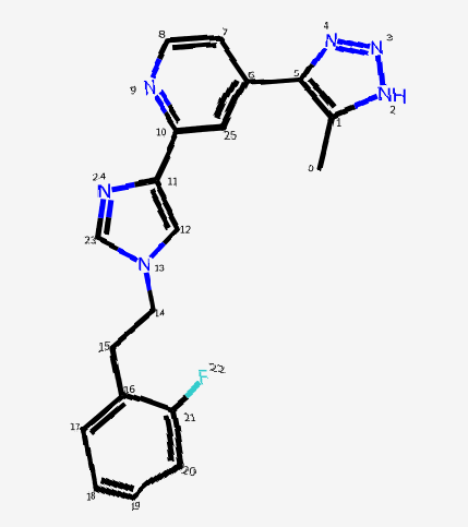 Cc1[nH]nnc1-c1ccnc(-c2cn(CCc3ccccc3F)cn2)c1